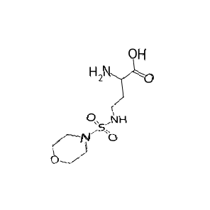 NC(CCNS(=O)(=O)N1CCOCC1)C(=O)O